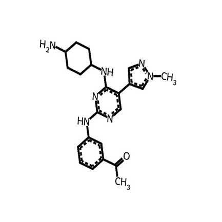 CC(=O)c1cccc(Nc2ncc(-c3cnn(C)c3)c(NC3CCC(N)CC3)n2)c1